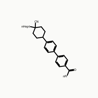 CCCCCCCC1(C#N)CCC(c2ccc(-c3ccc(C(=O)CCC)cc3)cc2)CC1